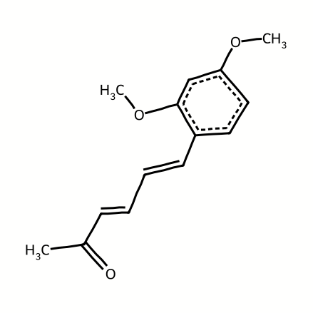 COc1ccc(/C=C/C=C/C(C)=O)c(OC)c1